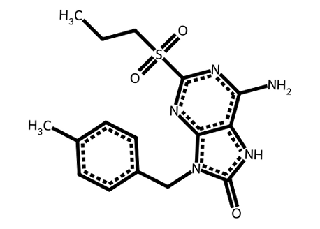 CCCS(=O)(=O)c1nc(N)c2[nH]c(=O)n(Cc3ccc(C)cc3)c2n1